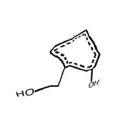 OCc1c[c]ccc1O